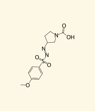 COc1ccc(S(=O)(=O)N=NC2CCN(C(=O)O)C2)cc1